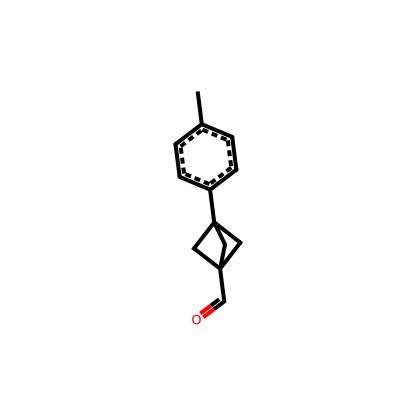 Cc1ccc(C23CC(C=O)(C2)C3)cc1